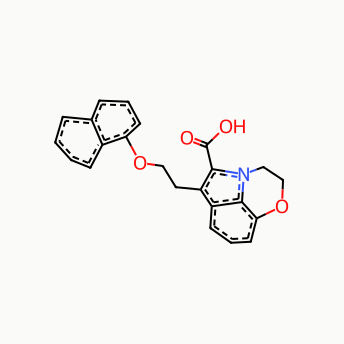 O=C(O)c1c(CCOc2cccc3ccccc23)c2cccc3c2n1CCO3